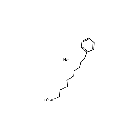 CCCCCCCCCCCCCCCCCCc1ccccc1.[Na]